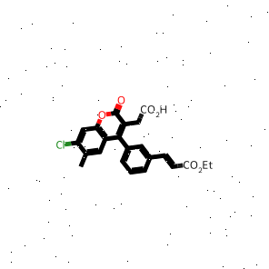 CCOC(=O)C=Cc1cccc(-c2c(CC(=O)O)c(=O)oc3cc(Cl)c(C)cc23)c1